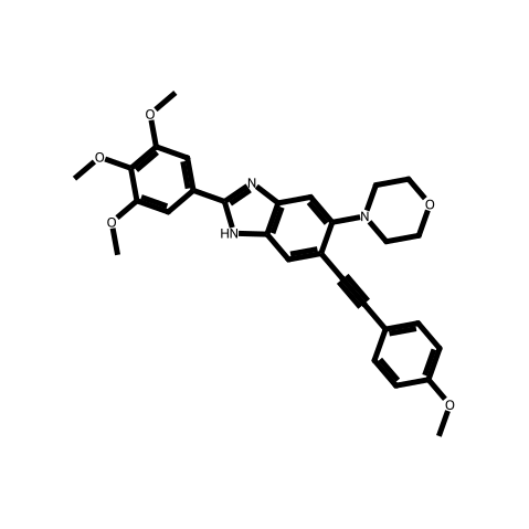 COc1ccc(C#Cc2cc3[nH]c(-c4cc(OC)c(OC)c(OC)c4)nc3cc2N2CCOCC2)cc1